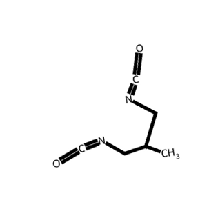 C[C](CN=C=O)CN=C=O